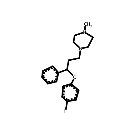 CN1CCN(CCC(Oc2ccc(F)cc2)c2ccccc2)CC1